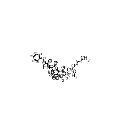 CCCCOC(=O)OC(C)OC(=O)[C@@H]1N2C(=O)C(NC(=O)OCc3ccccc3)[C@H]2S(=O)(=O)C1(C)C